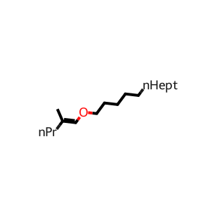 CCCCCCCCCCCCOC=C(C)CCC